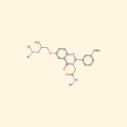 CCN(CC)CC(C)COc1ccc2nc(-c3cccc(OC)c3)n(CC(=O)NC(C)C)c(=O)c2c1